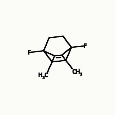 CC1=C(C)C2(F)CCC1(F)CC2